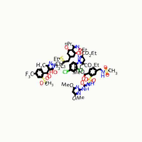 CCC/C(=N/OCC)C1=C(O)CC(CC(C)SCC)CC1=O.CCOC(=O)C1=NN(c2ccc(Cl)cc2Cl)C(C)(C(=O)OCC)C1.COC(=O)c1ccc(CNS(C)(=O)=O)cc1S(=O)(=O)NC(=O)Nc1nc(OC)cc(OC)n1.Cc1nn(C)c(O)c1C(=O)c1ccc(C(F)(F)F)cc1S(C)(=O)=O